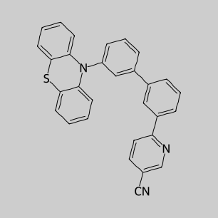 N#Cc1ccc(-c2cccc(-c3cccc(N4c5ccccc5Sc5ccccc54)c3)c2)nc1